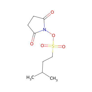 CC(C)CCS(=O)(=O)ON1C(=O)CCC1=O